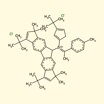 C/[C](c1ccc(C)cc1)=[Zr+2](/[C]1=CC(C(C)(C)C)=CC1)[CH]1c2cc3c(cc2-c2cc4c(cc21)C(C)(C)C=C4C(C)(C)C)C(C(C)(C)C)=CC3(C)C.[Cl-].[Cl-]